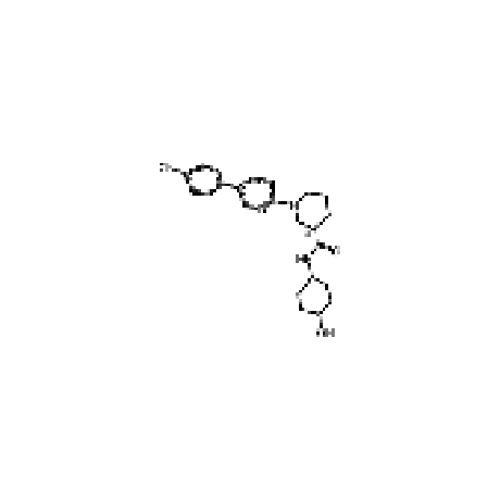 O=C(NC1CCC(O)CC1)[C@H]1CCCN(c2ccc(-c3ccc(Cl)cc3)cn2)C1